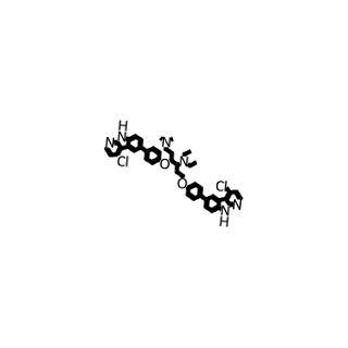 CCN(CC)C(CCOc1ccc(-c2ccc3[nH]c4nccc(Cl)c4c3c2)cc1)C(CCN(C)C)Oc1ccc(-c2ccc3[nH]c4nccc(Cl)c4c3c2)cc1